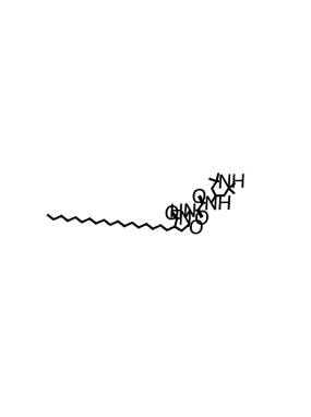 CCCCCCCCCCCCCCCCCCC1CC(=O)N(NC(=O)C(=O)NC2CC(C)(C)NC(C)(C)C2)C1=O